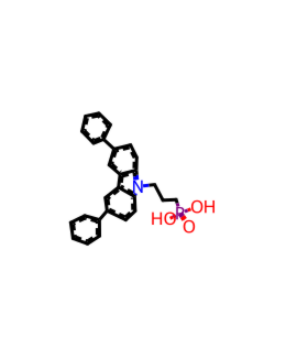 O=P(O)(O)CCCn1c2ccc(-c3ccccc3)cc2c2cc(-c3ccccc3)ccc21